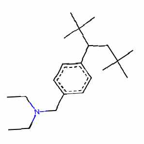 CCN(CC)Cc1ccc(C(CC(C)(C)C)C(C)(C)C)cc1